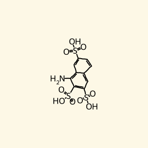 Nc1c(S(=O)(=O)O)c(S(=O)(=O)O)cc2ccc(S(=O)(=O)O)cc12